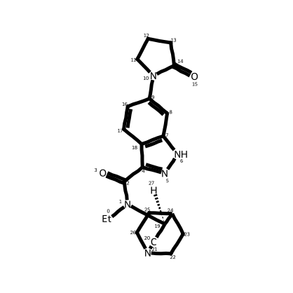 CCN(C(=O)c1n[nH]c2cc(N3CCCC3=O)ccc12)[C@@H]1CN2CCC1CC2